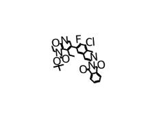 CCc1c(-c2cc3cc(N4C(=O)c5ccccc5C4=O)ncc3c(Cl)c2F)cnc2c1N(C(=O)OC(C)(C)C)CCO2